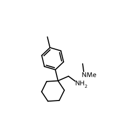 CNC.Cc1ccc(C2(CN)CCCCC2)cc1